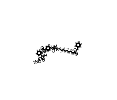 CC(C)(C)OC(=O)Nc1ccccc1NC(=O)c1ccc(NC(=O)COCCCCCCCCC(=O)OCc2ccccc2)cc1